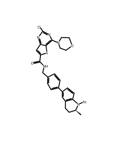 CC(=O)N1c2ccc(-c3ccc(CNC(=O)c4cc5nc(Cl)nc(N6CCOCC6)c5s4)cc3)cc2CC[C@@H]1C